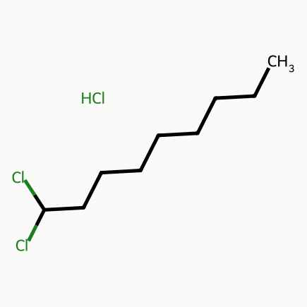 CCCCCCCCC(Cl)Cl.Cl